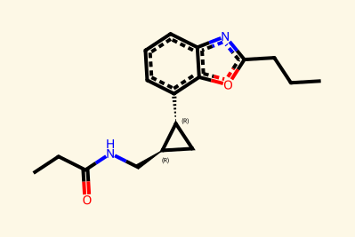 CCCc1nc2cccc([C@@H]3C[C@H]3CNC(=O)CC)c2o1